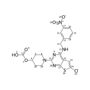 O=C(O)OC1CCN(c2nc(NCc3cccc([N+](=O)[O-])c3)c3cc(Cl)sc3n2)CC1